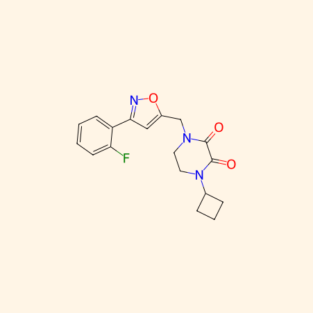 O=C1C(=O)N(C2CCC2)CCN1Cc1cc(-c2ccccc2F)no1